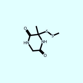 CSSC1(C)NC(=O)CNC1=O